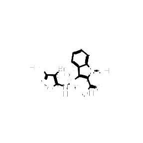 Cc1noc(NS(=O)(=O)c2c(C(=O)O)n(C)c3ccccc23)c1Br